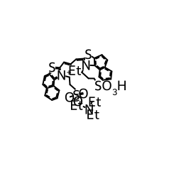 CCC(=Cc1sc2ccc3ccccc3c2[n+]1CCCS(=O)(=O)[O-])C=C1Sc2ccc3ccccc3c2N1CCCS(=O)(=O)O.CCN(CC)CC